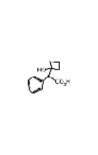 O=C(O)C(c1ccccc1)C1(O)CCC1